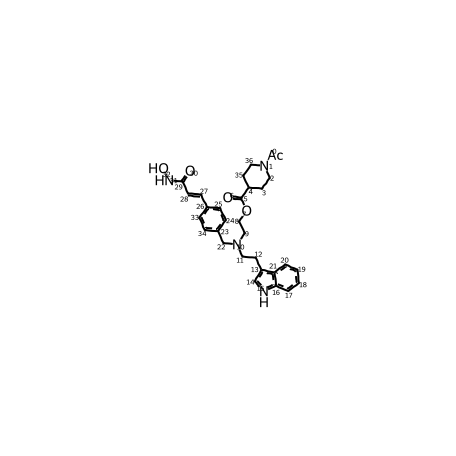 CC(=O)N1CCC(C(=O)OCCN(CCc2c[nH]c3ccccc23)Cc2ccc(/C=C/C(=O)NO)cc2)CC1